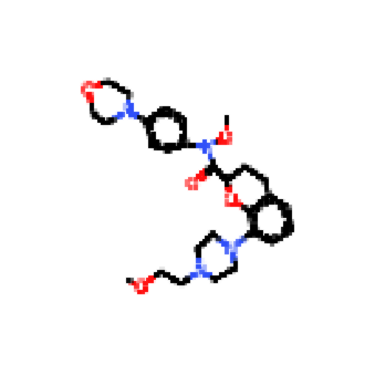 COCCN1CCN(c2cccc3c2OC(C(=O)N(OC)c2ccc(N4CCOCC4)cc2)CC3)CC1